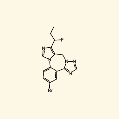 CCC(F)c1ncn2c1Cn1ncnc1-c1cc(Br)ccc1-2